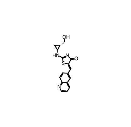 O=C1N=C(N[C@@H]2C[C@@H]2CO)S/C1=C\c1ccc2ncccc2c1